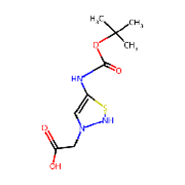 CC(C)(C)OC(=O)NC1=CN(CC(=O)O)NS1